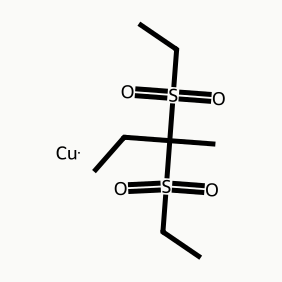 CCC(C)(S(=O)(=O)CC)S(=O)(=O)CC.[Cu]